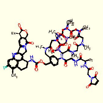 CC[C@H]1C(=O)OCc2c1cc1n(c2=O)Cc2c-1nc1cc(F)c(C)c3c1c2[C@@H](NC(=O)OCc1ccc(NC(=O)CNC(=O)C(NC(=O)CN2C(=O)C=CC2=O)C(C)C)cc1CN(C)C(=O)CN(C)C(=O)CN(C)C(=O)CN(C)C(=O)CN(C)C(=O)CN(C)C(=O)CN(C)C(=O)CN(C)C(=O)CN(C)C(=O)CN(C)C(=O)CN(C)C(C)=O)CC3